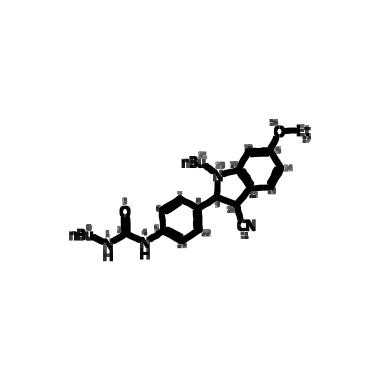 CCCCNC(=O)Nc1ccc(C2C(C#N)c3ccc(OCC)cc3N2CCCC)cc1